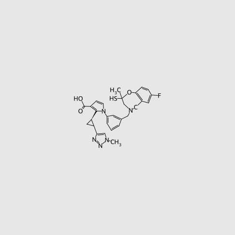 Cn1cc(C2C[C@H]2c2c(C(=O)O)ccn2-c2cccc(CN3Cc4cc(F)ccc4OC(C)(S)C3)c2)nn1